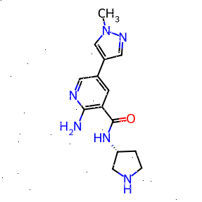 Cn1cc(-c2cnc(N)c(C(=O)N[C@@H]3CCNC3)c2)cn1